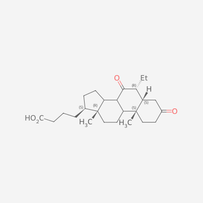 CC[C@H]1C(=O)C2C3CC[C@H](CCCC(=O)O)[C@@]3(C)CCC2[C@@]2(C)CCC(=O)C[C@@H]12